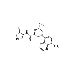 Cc1ccc(N2C[C@@H](C)O[C@@H](C(=O)NC3CNCC3F)C2)c2cccnc12